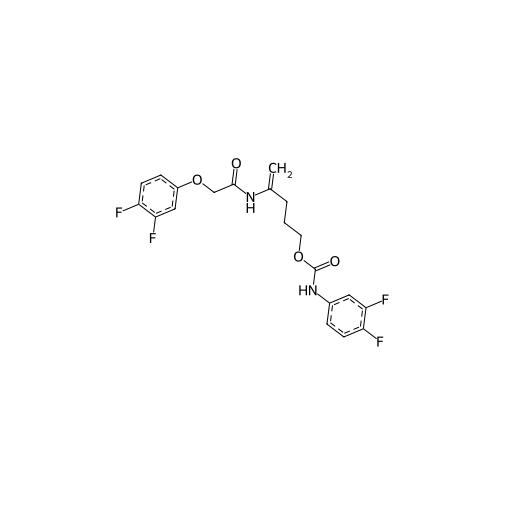 C=C(CCCOC(=O)Nc1ccc(F)c(F)c1)NC(=O)COc1ccc(F)c(F)c1